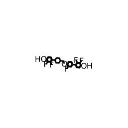 Oc1ccc(-c2ccc(OCC3CCC(c4ccc(O)c(F)c4F)CC3)c(F)c2)c(F)c1F